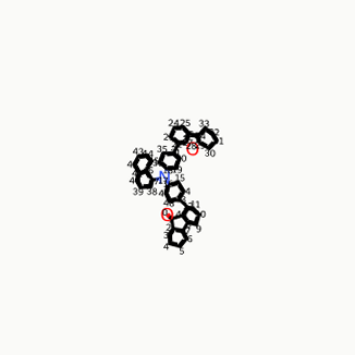 O=C1c2ccccc2-c2cccc(-c3ccc(N(c4ccc(-c5cccc6c5oc5ccccc56)cc4)c4cccc5ccccc45)cc3)c21